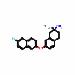 NC1(C(=O)O)CCc2ccc(Oc3ccc4cc(F)ccc4c3)cc2C1